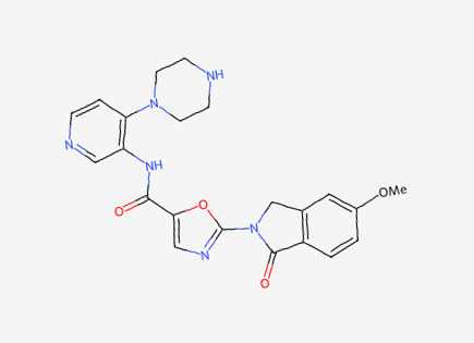 COc1ccc2c(c1)CN(c1ncc(C(=O)Nc3cnccc3N3CCNCC3)o1)C2=O